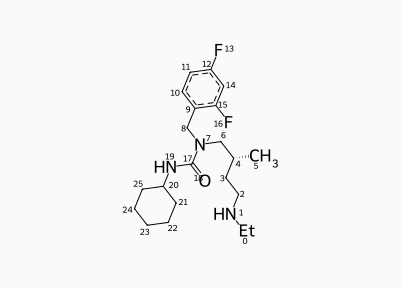 CCNCC[C@@H](C)CN(Cc1ccc(F)cc1F)C(=O)NC1CCCCC1